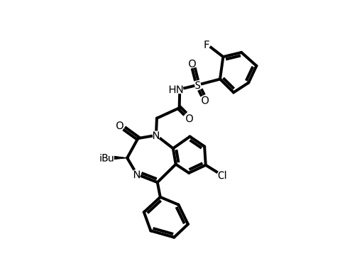 CCC(C)[C@@H]1N=C(c2ccccc2)c2cc(Cl)ccc2N(CC(=O)NS(=O)(=O)c2ccccc2F)C1=O